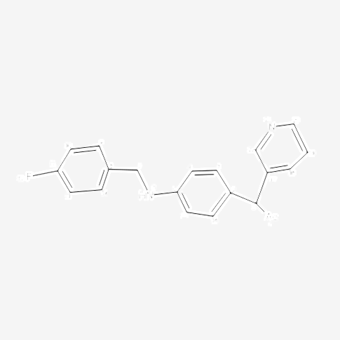 CC(=O)C(c1ccc(NCc2ccc(F)cc2)cc1)c1cccnc1